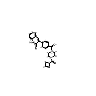 O=C(c1ccc(-c2cc3ccccc3[nH]c2=O)cc1)N1CCN(C(=O)C2CCO2)CC1